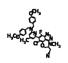 COc1ccc(CN(Cc2ccc(OC)cc2)c2cc(C)cc(-c3c(Cl)c4c5c(ncnc5c3F)N(C)C(CC#N)CO4)n2)cc1